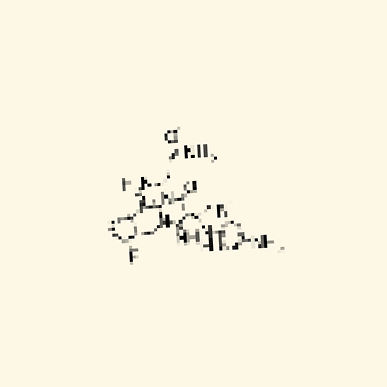 CO/C(N)=C/CC(N)N1C(=O)/C(=C(\CN(C)C)Nc2ccc(N)cc2)C(=N)N(Cc2c(F)cccc2F)C1=O